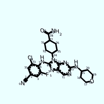 N#Cc1cc(F)c(Nc2nc3cnc(NC4CCOCC4)nc3n2C2CCC(C(N)=O)CC2)c(Cl)c1